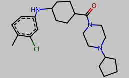 Cc1ccc(NC2CCC(C(=O)N3CCN(C4CCCC4)CC3)CC2)cc1Cl